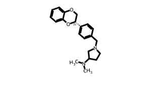 CN(C)C1CCN(Cc2ccc([C@H]3COc4ccccc4O3)cc2)C1